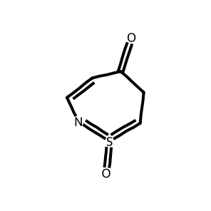 O=C1C=CN=S(=O)=CC1